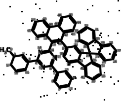 CC1C=C(c2nc(-c3ccccc3)nc(-c3c(-c4ccc5c(c4)C4(c6ccccc6-c6ccccc64)c4ccccc4-5)c4ccccc4c4ccccc34)n2)C=CC1